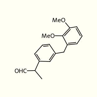 COc1cccc(Cc2cccc(C(C)C=O)c2)c1OC